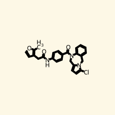 Cc1occc1CC(=O)Nc1ccc(C(=O)N2Cc3ccc(Cl)n3Cc3ccccc32)cc1